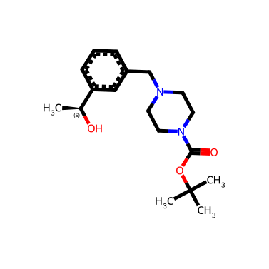 C[C@H](O)c1cccc(CN2CCN(C(=O)OC(C)(C)C)CC2)c1